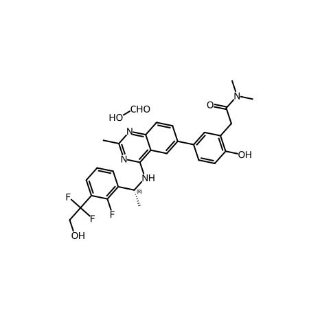 Cc1nc(N[C@H](C)c2cccc(C(F)(F)CO)c2F)c2cc(-c3ccc(O)c(CC(=O)N(C)C)c3)ccc2n1.O=CO